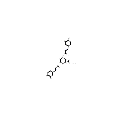 CNC(=O)[C@@]1(O)C[C@@H](OC(=O)/C=C/c2ccc(C)c(O)c2)[C@H](O)[C@H](OC(=O)/C=C/c2ccc(O)c(O)c2)C1